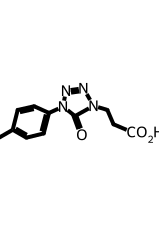 Cc1ccc(-n2nnn(CCC(=O)O)c2=O)cc1